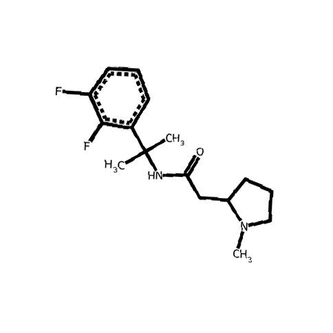 CN1CCCC1CC(=O)NC(C)(C)c1cccc(F)c1F